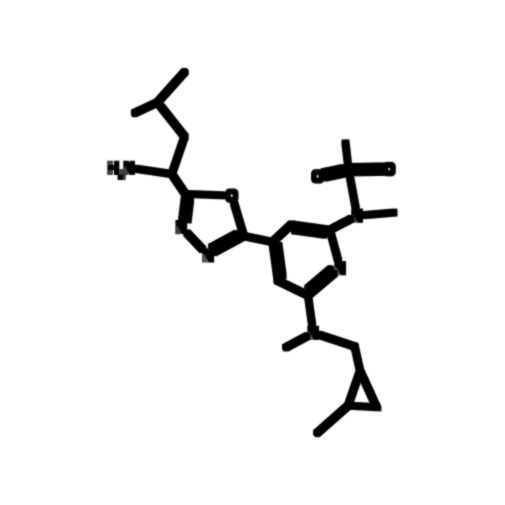 CC(C)CC(N)c1nnc(-c2cc(N(C)CC3CC3C)nc(N(C)S(C)(=O)=O)c2)o1